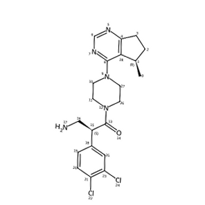 C[C@@H]1CCc2ncnc(N3CCN(C(=O)[C@H](CN)c4ccc(Cl)c(Cl)c4)CC3)c21